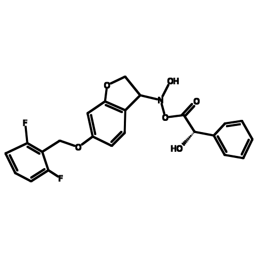 O=C(ON(O)C1COc2cc(OCc3c(F)cccc3F)ccc21)[C@@H](O)c1ccccc1